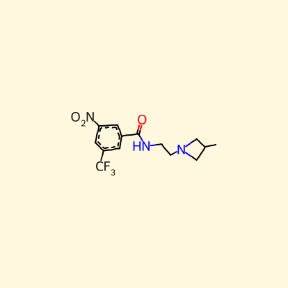 CC1CN(CCNC(=O)c2cc([N+](=O)[O-])cc(C(F)(F)F)c2)C1